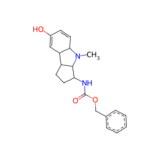 CN1C2C=CC(O)=CC2C2CCC(NC(=O)OCc3ccccc3)C21